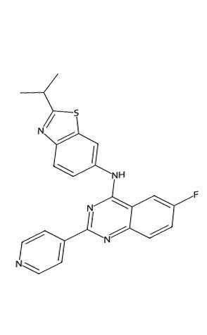 CC(C)c1nc2ccc(Nc3nc(-c4ccncc4)nc4ccc(F)cc34)cc2s1